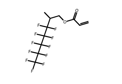 C=CC(=O)OCC(C)C(F)(F)C(F)(F)C(F)(F)C(F)(F)C(F)(F)F